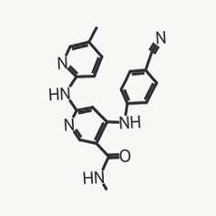 CNC(=O)c1cnc(Nc2ccc(C)cn2)cc1Nc1ccc(C#N)cc1